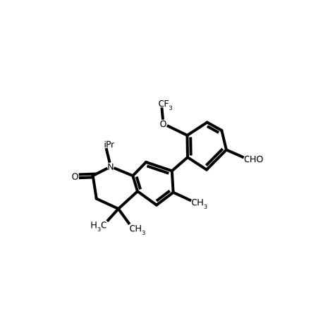 Cc1cc2c(cc1-c1cc(C=O)ccc1OC(F)(F)F)N(C(C)C)C(=O)CC2(C)C